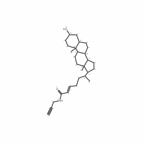 C#CCNC(=O)/C=C/CCC(C)C1CCC2C3CCC4CC(O)CCC4(C)C3CCC12C